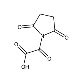 O=C(O)C(=O)N1C(=O)CCC1=O